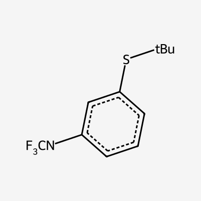 CC(C)(C)Sc1cccc(NC(F)(F)F)c1